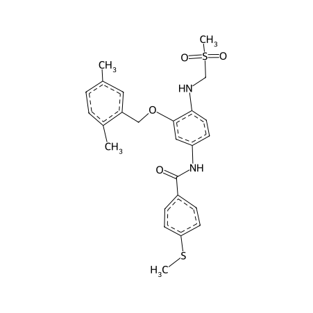 CSc1ccc(C(=O)Nc2ccc(NCS(C)(=O)=O)c(OCc3cc(C)ccc3C)c2)cc1